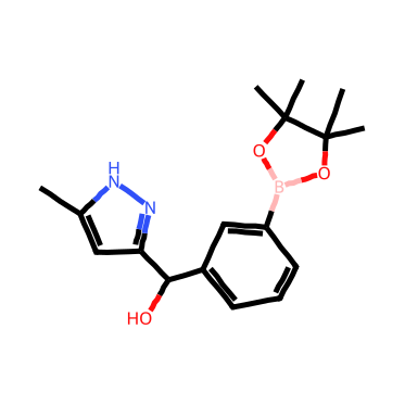 Cc1cc(C(O)c2cccc(B3OC(C)(C)C(C)(C)O3)c2)n[nH]1